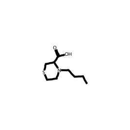 CCCCN1CCSCC1C(=O)O